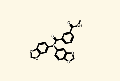 CNC(=O)c1cccc(C(=O)N(c2ccc3c(c2)OCO3)c2ccc3c(c2)OCO3)c1